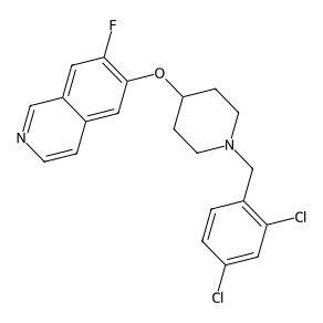 Fc1cc2cnccc2cc1OC1CCN(Cc2ccc(Cl)cc2Cl)CC1